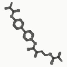 C=C(C)C(=O)OCCC(=C)C(=O)Oc1ccc(-c2ccc(OC(=O)C(=C)C)cc2)cc1